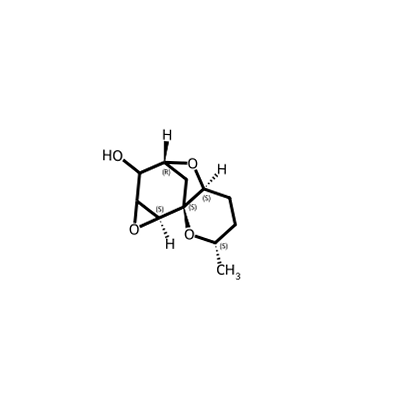 C[C@H]1CC[C@@H]2O[C@@H]3C[C@@]2(O1)[C@H]1OC1C3O